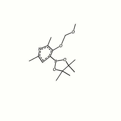 COCOc1c(B2OC(C)(C)C(C)(C)O2)cc(C)nc1C